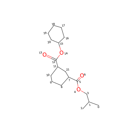 CC(C)COC(=O)C1CCCC(C(=O)OC2CCCCC2)C1